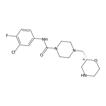 O=C(Nc1ccc(F)c(Cl)c1)N1CCN(C[C@H]2CNCCO2)CC1